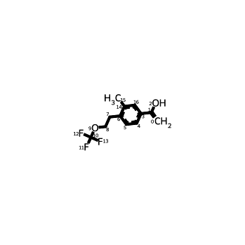 C=C(O)c1ccc(CCOC(F)(F)F)c(C)c1